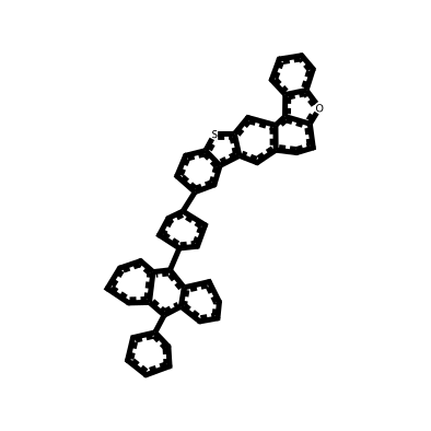 c1ccc(-c2c3ccccc3c(-c3ccc(-c4ccc5sc6cc7c(ccc8oc9ccccc9c87)cc6c5c4)cc3)c3ccccc23)cc1